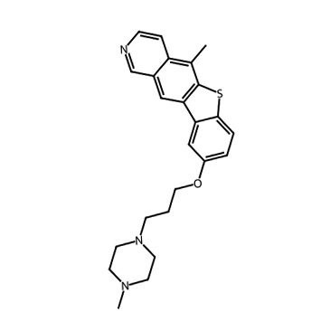 Cc1c2ccncc2cc2c1sc1ccc(OCCCN3CCN(C)CC3)cc12